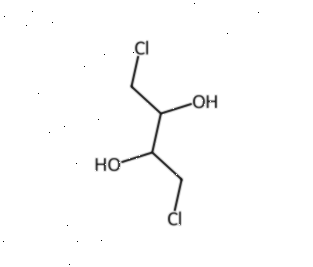 OC(CCl)C(O)CCl